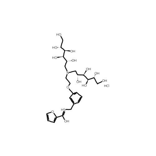 Cl.OC[C@@H](O)[C@@H](O)[C@H](O)[C@H](O)CN(CCOc1cccc(C[SH]=C(O)c2ccco2)c1)C[C@@H](O)[C@@H](O)[C@H](O)[C@H](O)CO